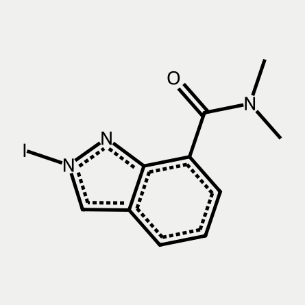 CN(C)C(=O)c1cccc2cn(I)nc12